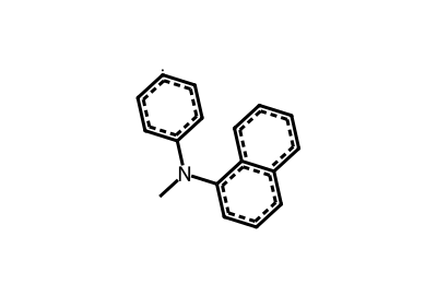 CN(c1cc[c]cc1)c1cccc2ccccc12